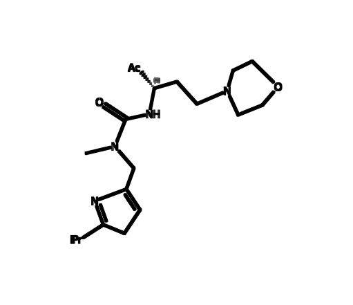 CC(=O)[C@H](CCN1CCOCC1)NC(=O)N(C)CC1=CCC(C(C)C)=N1